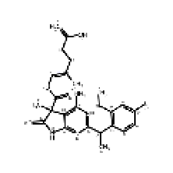 C=C(O)CC/C(C)=C/OC(=C)C1(C)C(=O)Nc2nc(C(C)c3ccc(Cl)cc3CC)nc(N)c21